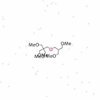 COCC(COC)COCC(COC)(COC)COC